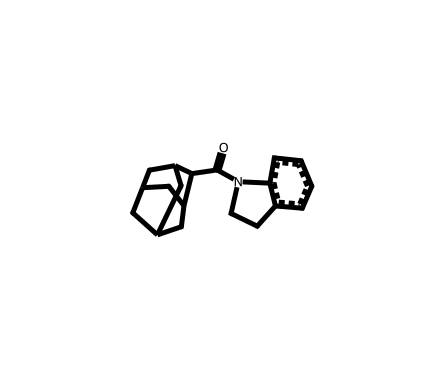 O=C(C1C2CC3CC(C2)CC1C3)N1CCc2ccccc21